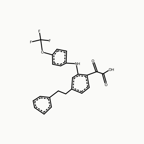 O=C(O)C(=O)c1ccc(CCc2ccccc2)cc1Nc1ccc(OC(F)(F)F)cc1